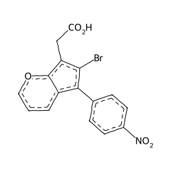 O=C(O)Cc1c2occcc-2c(-c2ccc([N+](=O)[O-])cc2)c1Br